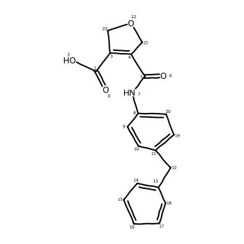 O=C(O)C1=C(C(=O)Nc2ccc(Cc3ccccc3)cc2)COC1